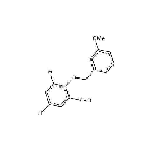 COc1cccc(COc2c(Br)cc(Cl)cc2C=O)c1